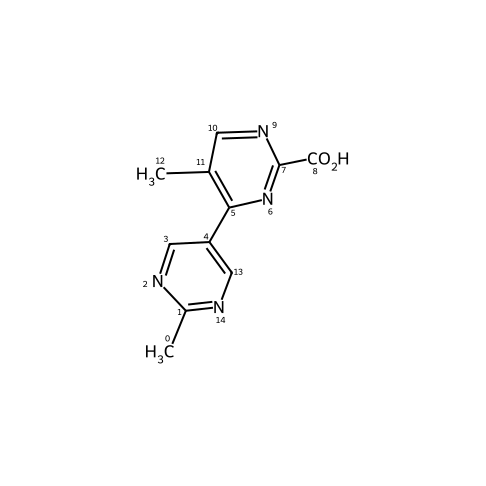 Cc1ncc(-c2nc(C(=O)O)ncc2C)cn1